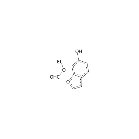 CCOC=O.Oc1ccc2ccoc2c1